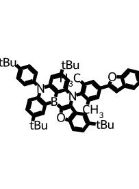 Cc1cc(-c2cc3ccccc3o2)cc(C)c1N1c2cc(C(C)(C)C)cc3c2B(c2cc(C(C)(C)C)ccc2N3c2ccc(C(C)(C)C)cc2)c2oc3ccc(C(C)(C)C)cc3c21